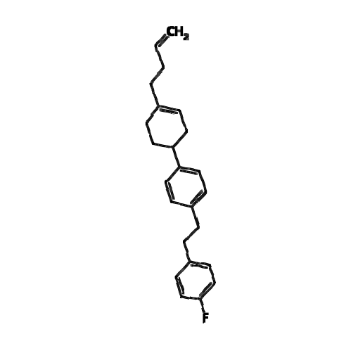 C=CCCC1=CCC(c2ccc(CCc3ccc(F)cc3)cc2)CC1